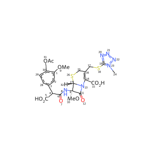 COc1cc(C(C(=O)O)C(=O)N[C@]2(OC)C(=O)N3C(C(=O)O)=C(CSc4nnnn4C)CS[C@H]32)ccc1OC(C)=O